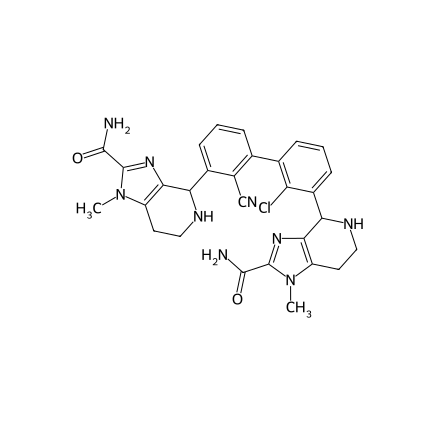 Cn1c(C(N)=O)nc2c1CCNC2c1cccc(-c2cccc(C3NCCc4c3nc(C(N)=O)n4C)c2C#N)c1Cl